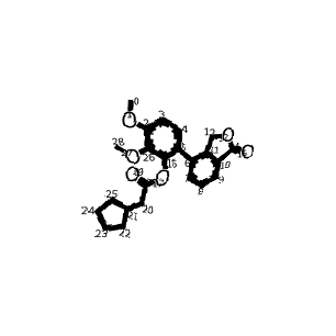 COc1ccc(-c2cccc3c2COC3=O)c(OC(=O)CC2CCCC2)c1OC